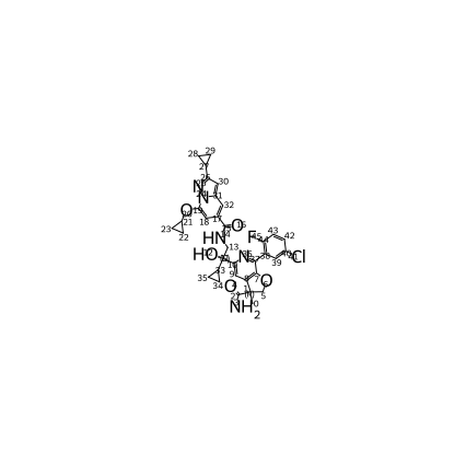 C[C@]1(C(N)=O)COc2c1cc([C@@](O)(CNC(=O)c1cc(OC3CC3)n3nc(C4CC4)cc3c1)C1CC1)nc2-c1cc(Cl)ccc1F